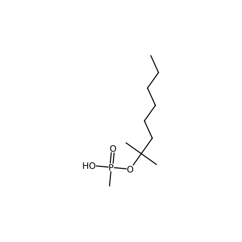 CCCCCCC(C)(C)OP(C)(=O)O